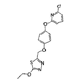 CCOc1nnc(COc2ccc(Oc3cccc(Cl)n3)cc2)s1